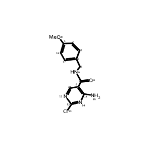 COc1ccc(CNC(=O)c2cnc(Cl)nc2N)cc1